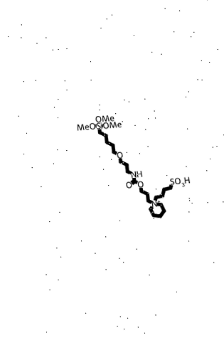 CO[Si](CCCCCOCCCNC(=O)OCCC[N+]1(CCCCS(=O)(=O)O)CCCCC1)(OC)OC